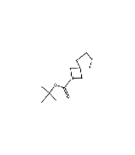 CC(C)(C)OC(=O)N1CC2(CCSC2)C1